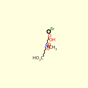 CS(=O)(=O)N(CCCCCCC(=O)O)CCCC(O)COc1cccc(Br)c1